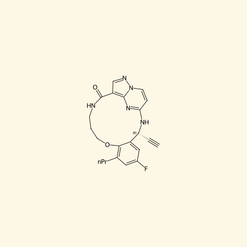 C#C[C@H]1Nc2ccn3ncc(c3n2)C(=O)NCCCOc2c(CCC)cc(F)cc21